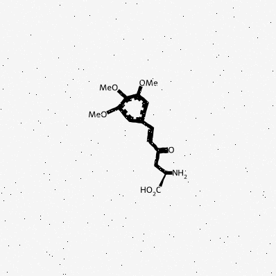 COc1cc(C=CC(=O)C[C@@H](N)C(=O)O)cc(OC)c1OC